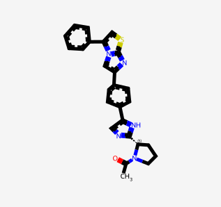 CC(=O)N1CCC[C@H]1c1ncc(-c2ccc(-c3cn4c(-c5ccccc5)csc4n3)cc2)[nH]1